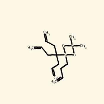 C=CCC[Si]1(C(CC=C)(CC=C)CC=C)O[Si](C)(C)O1